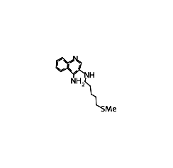 CSCCCCCNc1cnc2ccccc2c1N